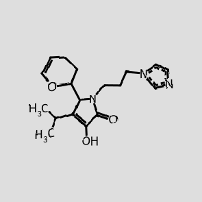 CC(C)C1=C(O)C(=O)N(CCCn2ccnc2)C1C1CCC=CO1